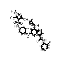 Cc1nn(C)c(Cl)c1S(=O)(=O)N[C@H]1CC[C@H](Nc2cc(NC3CC3)c3ncc(C(=O)Nc4ccncc4F)n3n2)CC1